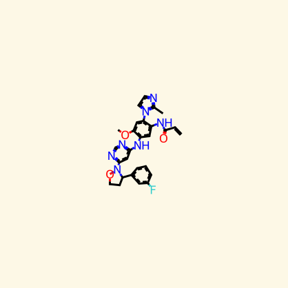 C=CC(=O)Nc1cc(Nc2cc(N3OCCC3c3cccc(F)c3)ncn2)c(OC)cc1-n1ccnc1C